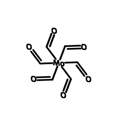 O=[CH][Mo]([CH]=O)([CH]=O)([CH]=O)([CH]=O)[CH]=O